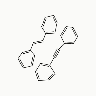 C(#Cc1ccccc1)c1ccccc1.C(=Cc1ccccc1)c1ccccc1